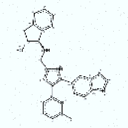 Cc1cccc(-c2nc(CN[C@@H]3c4ccccc4C[C@H]3O)[nH]c2-c2ccc3ncnn3c2)n1